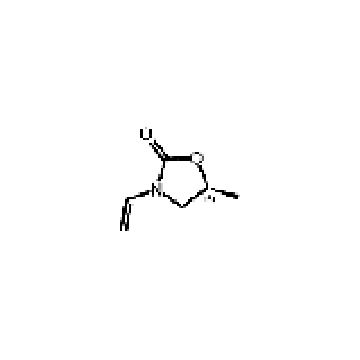 C=CN1C[C@H](C)OC1=O